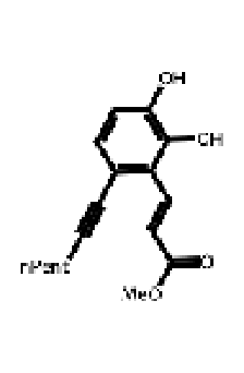 CCCCCC#Cc1ccc(O)c(O)c1C=CC(=O)OC